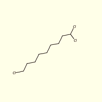 ClCCCCCCCCC(Cl)Cl